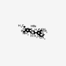 Br.CCOc1cc2c(cc1C(N)=O)C(=N)N(CC(=O)c1cc(C(C)(C)C)c3c(c1)C(C)(C)CCO3)C2